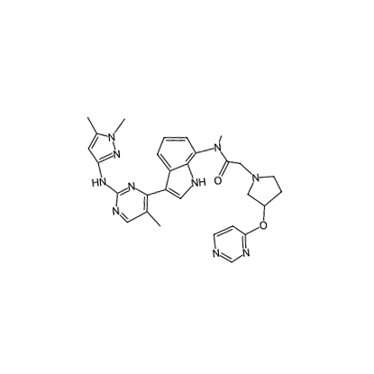 Cc1cnc(Nc2cc(C)n(C)n2)nc1-c1c[nH]c2c(N(C)C(=O)CN3CCC(Oc4ccncn4)C3)cccc12